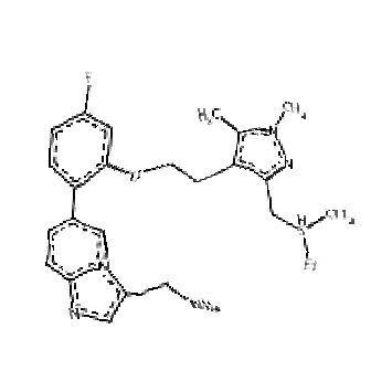 CC[SH](C)Cc1nn(C)c(C)c1CCOc1cc(F)ccc1-c1ccc2ncc(CNC)n2c1